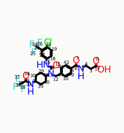 O=C(O)CCNC(=O)c1ccc(CN(C(=O)Nc2ccc(Cl)c(C(F)(F)F)c2)C2CCC(NC(=O)C(F)(F)F)CC2)cc1